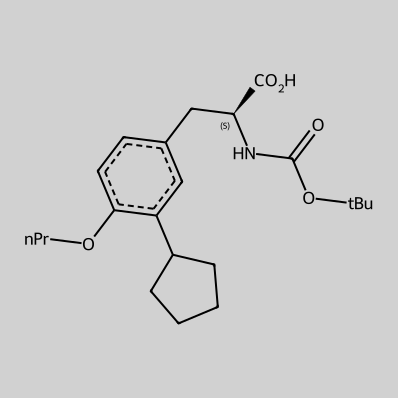 CCCOc1ccc(C[C@H](NC(=O)OC(C)(C)C)C(=O)O)cc1C1CCCC1